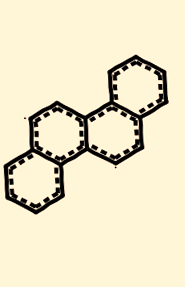 [c]1cc2c([c]cc3ccccc32)c2ccccc12